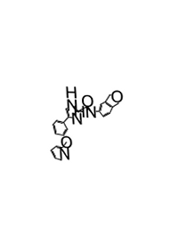 O=C(Nc1ccc2c(c1)COC2)c1nc(-c2cccc(Oc3ccccn3)c2)c[nH]1